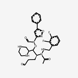 CC(=O)N(NCc1cccc(F)c1F)[C@@H](CCC=O)C(ON(C=O)c1cc(-c2ccccc2)on1)C1CNCCN1